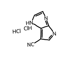 Cl.Cl.N#Cc1cnc2ncc[nH]c1-2